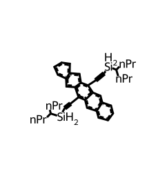 CCCC(CCC)[SiH2]C#Cc1c2cc3ccccc3cc2c(C#C[SiH2]C(CCC)CCC)c2cc3ccccc3cc12